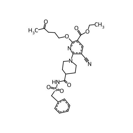 CCOC(=O)c1cc(C#N)c(N2CCC(C(=O)NS(=O)(=O)Cc3ccccc3)CC2)nc1OCCCC(C)=O